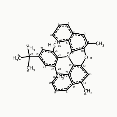 Cc1cc2cccnc2c2c1Oc1cc(C)c3cccnc3c1N2c1c(C)cc(C(C)(C)C)cc1C